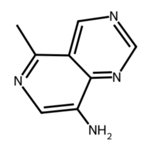 Cc1ncc(N)c2ncncc12